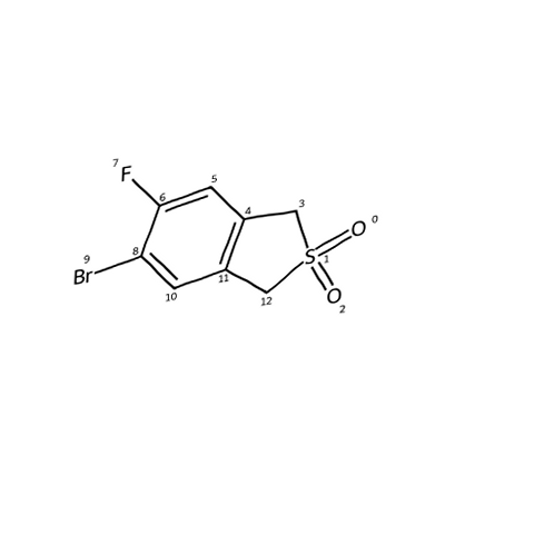 O=S1(=O)Cc2cc(F)c(Br)cc2C1